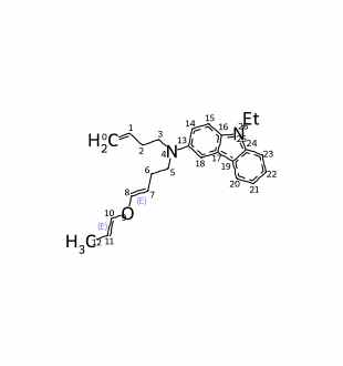 C=CCCN(CC/C=C/O/C=C/C)c1ccc2c(c1)c1ccccc1n2CC